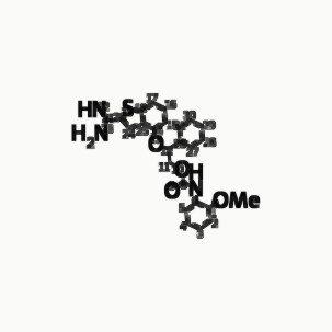 COc1ccccc1NC(=O)OCC(Oc1cccc2sc(C(=N)N)cc12)c1ccccc1